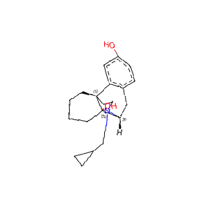 Oc1ccc2c(c1)[C@@]13CCCC[C@@]1(O)[C@@H](C2)N(CC1CC1)CC3